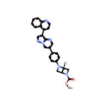 CC(C)(C)OC(=O)N1C[C@@H]2C1CN2c1ccc(-c2cnc3c(-c4ccnc5ccccc45)cnn3c2)cc1